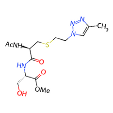 COC(=O)[C@H](CO)NC(=O)[C@H](CSCCn1cc(C)nn1)NC(C)=O